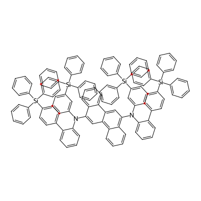 c1ccc([Si](c2ccccc2)(c2ccccc2)c2ccc(-c3ccccc3N(c3cccc([Si](c4ccccc4)(c4ccccc4)c4ccccc4)c3)c3cc4c5ccccc5c(N(c5cccc([Si](c6ccccc6)(c6ccccc6)c6ccccc6)c5)c5ccccc5-c5ccc([Si](c6ccccc6)(c6ccccc6)c6ccccc6)cc5)cc4c4ccccc34)cc2)cc1